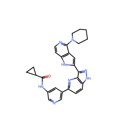 O=C(Nc1cncc(-c2ccc3[nH]nc(-c4cc5c(N6CCCCC6)nccc5[nH]4)c3n2)c1)C1CC1